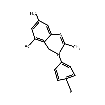 CC(=O)c1cc(C)cc2c1CN(c1ccc(F)cc1)C(C)=N2